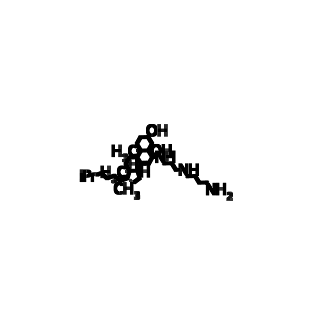 CC(C)CCC[C@@H](C)[C@H]1CC[C@H]2C3=CC(NCCCNCCCCN)C4(O)CC(O)CC[C@]4(C)[C@H]3CC[C@]12C